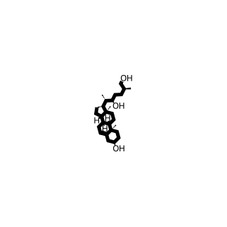 C[C@H](CO)CC[C@H](O)[C@@H](C)[C@H]1CC[C@H]2[C@@H]3CC=C4C[C@@H](O)CC[C@]4(C)[C@H]3CC[C@]12C